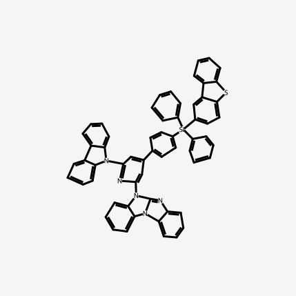 c1ccc([Si](c2ccccc2)(c2ccc(-c3cc(-n4c5ccccc5c5ccccc54)nc(-n4c5ccccc5n5c6ccccc6nc45)c3)cc2)c2ccc3sc4ccccc4c3c2)cc1